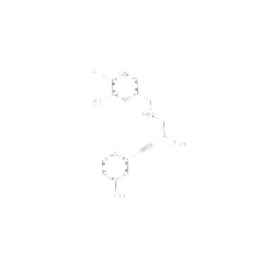 CCc1ccc(CNCC(C)C#Cc2cccc(C)c2)cc1CC